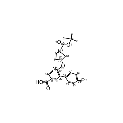 CC(C)(C)OC(=O)N1CC[C@H](Oc2ncc(C(=O)O)cc2-c2ccc(F)cc2)C1